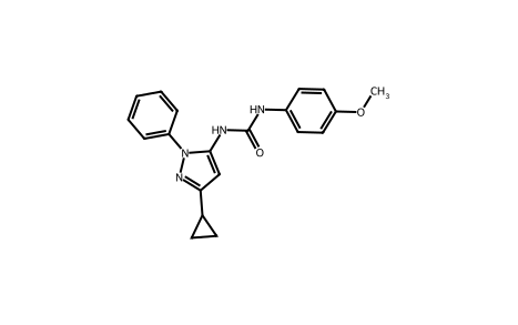 COc1ccc(NC(=O)Nc2cc(C3CC3)nn2-c2ccccc2)cc1